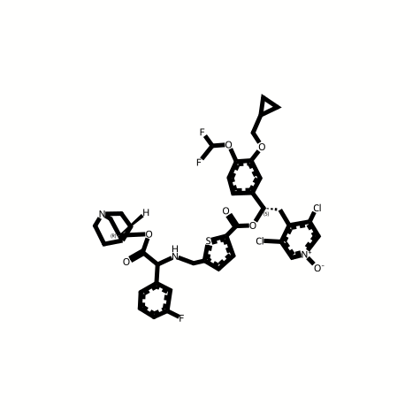 O=C(O[C@@H](Cc1c(Cl)c[n+]([O-])cc1Cl)c1ccc(OC(F)F)c(OCC2CC2)c1)c1ccc(CNC(C(=O)O[C@H]2CN3CCC2CC3)c2cccc(F)c2)s1